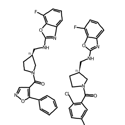 Cc1ccc(Cl)c(C(=O)N2CC[C@@H](CNc3nc4cccc(F)c4o3)C2)c1.O=C(c1cnoc1-c1ccccc1)N1CC[C@@H](CNc2nc3cccc(F)c3o2)C1